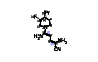 CC(C)[C@@H]1CCN(/C(N)=C/C=C(\N)C#N)C[C@@H]1F